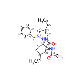 C=CC1CCC(CN(C)Cc2ccccc2)C(NC(C)=O)(C(=O)NCCCC)C1